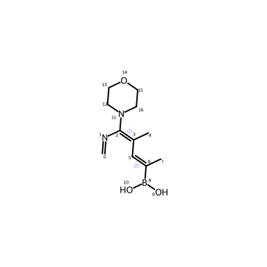 C=N/C(=C(C)\C=C(/C)B(O)O)N1CCOCC1